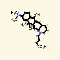 C[N+](C)=C1C=CC2=C(C#N)C3=CC4CCCN(CCCC(=O)O)C4C=C3C(C)(C)C2=C1